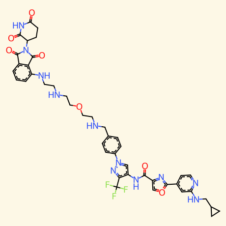 O=C1CCC(N2C(=O)c3cccc(NCCNCCOCCNCc4ccc(-n5cc(NC(=O)c6coc(-c7ccnc(NCC8CC8)c7)n6)c(C(F)(F)F)n5)cc4)c3C2=O)C(=O)N1